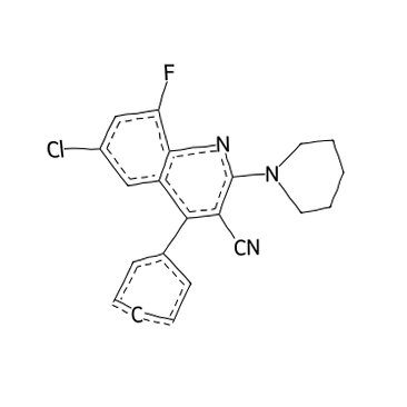 N#Cc1c(N2CCCCC2)nc2c(F)cc(Cl)cc2c1-c1ccccc1